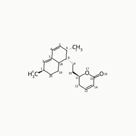 C[C@H]1C=C2C=C[C@H](C)[C@H](CC[C@@H]3CC=CC(=O)O3)C2CC1